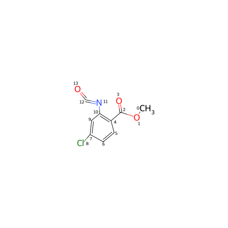 COC(=O)c1ccc(Cl)cc1N=C=O